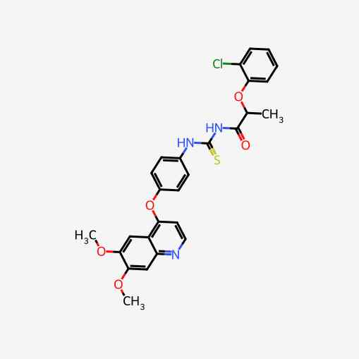 COc1cc2nccc(Oc3ccc(NC(=S)NC(=O)C(C)Oc4ccccc4Cl)cc3)c2cc1OC